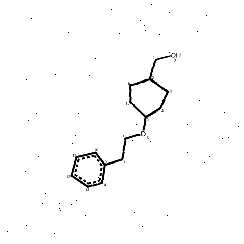 OCC1CCC(OCCc2ccccc2)CC1